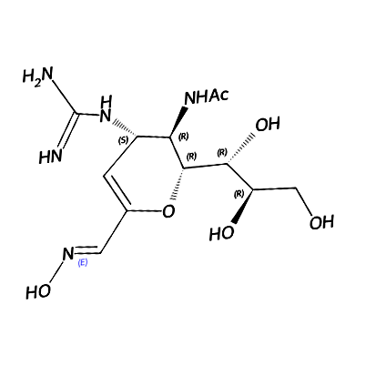 CC(=O)N[C@H]1[C@H]([C@H](O)[C@H](O)CO)OC(/C=N/O)=C[C@@H]1NC(=N)N